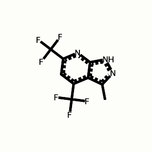 Cc1n[nH]c2nc(C(F)(F)F)cc(C(F)(F)F)c12